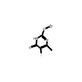 CCOc1nc(C)c(I)c(=O)[nH]1